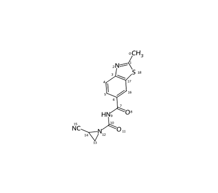 Cc1nc2ccc(C(=O)NC(=O)N3CC3C#N)cc2s1